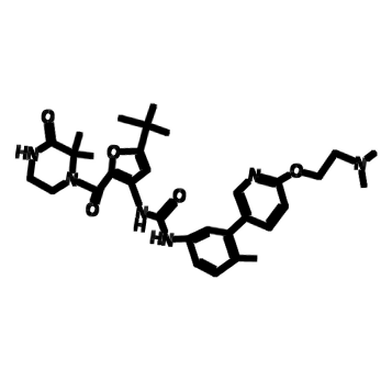 Cc1ccc(NC(=O)Nc2cc(C(C)(C)C)oc2C(=O)N2CCNC(=O)C2(C)C)cc1-c1ccc(OCCN(C)C)nc1